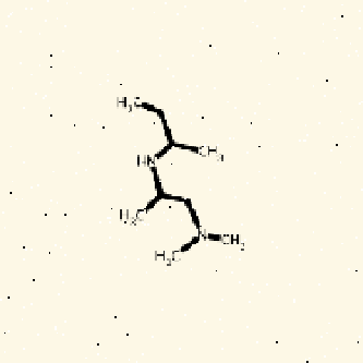 CCC(C)NC(C)CN(C)C